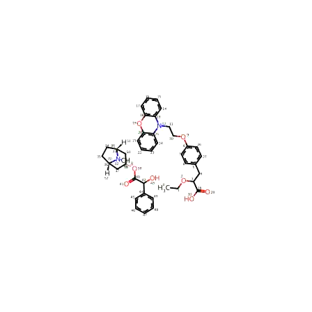 CCOC(Cc1ccc(OCCN2c3ccccc3Oc3ccccc32)cc1)C(=O)O.CN1[C@@H]2CC[C@H]1C[C@@H](OC(=O)C(O)c1ccccc1)C2